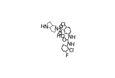 O=C(Nc1ccc(Cl)c(S(=O)(=O)N2CCC3NCCC3C2)c1O)Nc1cccc(F)c1Cl